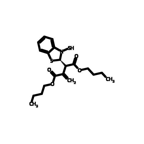 C=C(C(=O)OCCCC)C(C(=O)OCCCC)[C@@H]1Sc2ccccc2N1S